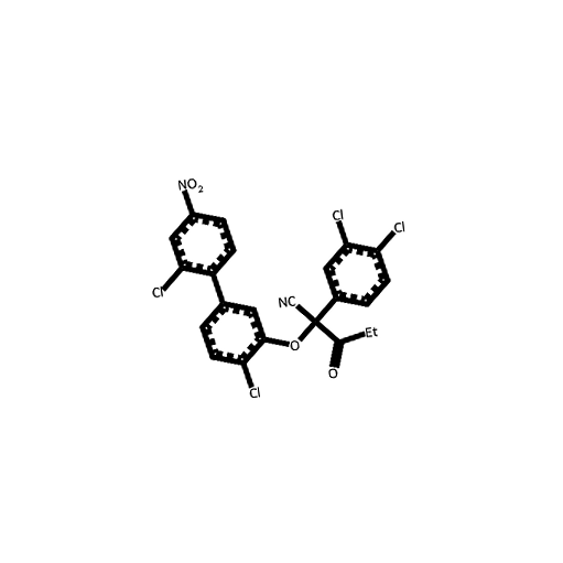 CCC(=O)C(C#N)(Oc1cc(-c2ccc([N+](=O)[O-])cc2Cl)ccc1Cl)c1ccc(Cl)c(Cl)c1